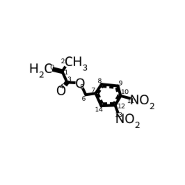 C=C(C)C(=O)OCc1ccc([N+](=O)[O-])c([N+](=O)[O-])c1